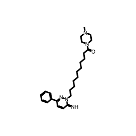 CN1CCN(C(=O)CCCCCCCCCCn2nc(-c3ccccc3)ccc2=N)CC1